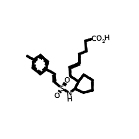 Cc1ccc(/C=C/S(=O)(=O)NC2CCCCC2C/C=C/CCCC(=O)O)cc1